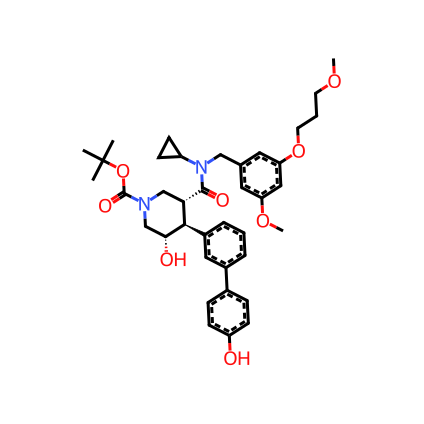 COCCCOc1cc(CN(C(=O)[C@H]2CN(C(=O)OC(C)(C)C)C[C@@H](O)[C@@H]2c2cccc(-c3ccc(O)cc3)c2)C2CC2)cc(OC)c1